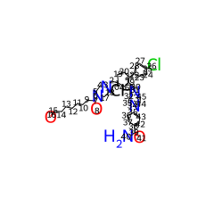 CC1(CN2CCN(C(=O)CCCCCCC=O)CC2)CCC(c2ccc(Cl)cc2)=C(CN2CCN(c3ccc(C(N)=O)cc3)CC2)C1